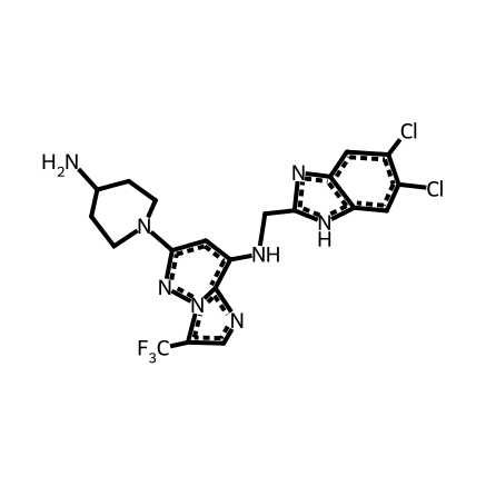 NC1CCN(c2cc(NCc3nc4cc(Cl)c(Cl)cc4[nH]3)c3ncc(C(F)(F)F)n3n2)CC1